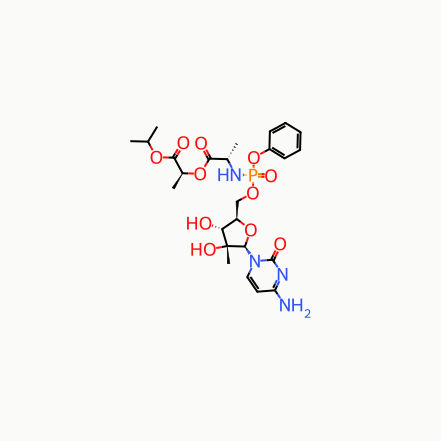 CC(C)OC(=O)[C@H](C)OC(=O)[C@H](C)N[P@](=O)(OC[C@H]1O[C@@H](n2ccc(N)nc2=O)[C@](C)(O)[C@@H]1O)Oc1ccccc1